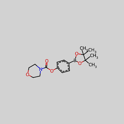 CC1(C)OB(c2ccc(OC(=O)N3CCOCC3)cc2)OC1(C)C